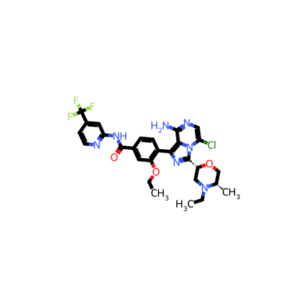 CCOc1cc(C(=O)Nc2cc(C(F)(F)F)ccn2)ccc1-c1nc([C@H]2CN(CC)[C@@H](C)CO2)n2c(Cl)cnc(N)c12